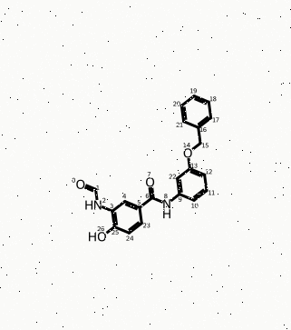 O=CNc1cc(C(=O)Nc2cccc(OCc3ccccc3)c2)ccc1O